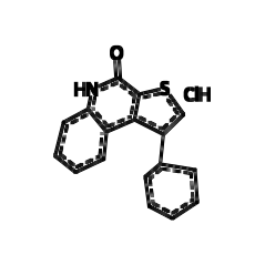 Cl.O=c1[nH]c2ccccc2c2c(-c3ccccc3)csc12